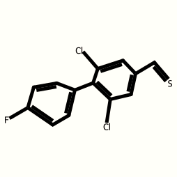 Fc1ccc(-c2c(Cl)cc(C=S)cc2Cl)cc1